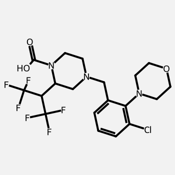 O=C(O)N1CCN(Cc2cccc(Cl)c2N2CCOCC2)CC1C(C(F)(F)F)C(F)(F)F